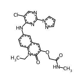 CCn1c(=O)c(OCC(=O)NC)cc2cc(Nc3nc(-n4cccn4)ncc3Cl)ccc21